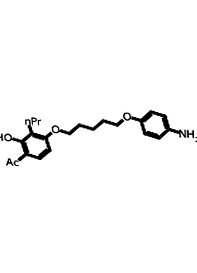 CCCc1c(OCCCCCOc2ccc(N)cc2)ccc(C(C)=O)c1O